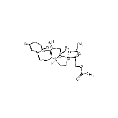 CC(=O)OCC(=O)[C@@]1(OC(C)=O)CC[C@H]2C3=C(C(O)C[C@@]21C)[C@@]1(C)C=CC(=O)C=C1CC3